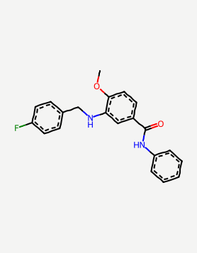 COc1ccc(C(=O)Nc2ccccc2)cc1NCc1ccc(F)cc1